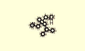 CC1(c2cccc(-c3c4ccccc4c(-c4cccc(-c5ccccn5)c4)c4cc(-c5cc(-c6ccccc6)cc(-c6ccccc6)c5)ccc34)c2)C=CC=CN1